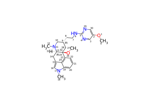 COc1cnc(NCC[C@H]2CN(C)[C@@H]3Cc4cn(C)c5cccc(c45)[C@@]3(OC)C2)nc1